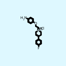 Cl.Cl.Nc1ccc(OCCN2CC=C(c3ccc(F)cc3)CC2)cc1